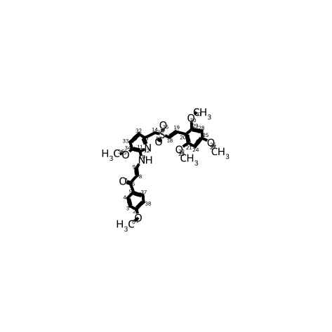 COc1ccc(C(=O)/C=C/Nc2nc(CS(=O)(=O)/C=C/c3c(OC)cc(OC)cc3OC)ccc2OC)cc1